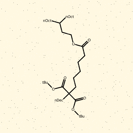 CCCCCCCCCCC(CCCCCC(=O)OCCC(CCCCCCCC)CCCCCCCC)(C(=O)OC(C)(C)C)C(=O)OC(C)(C)C